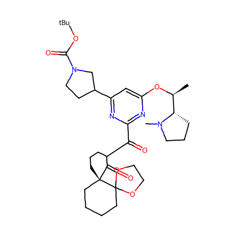 C[C@H](Oc1cc(C2CCN(C(=O)OC(C)(C)C)C2)nc(C(=O)C2CCC[C@@]3(CCCCC34OCCO4)C2=O)n1)[C@@H]1CCCN1C